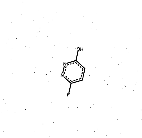 Oc1ccc(F)nn1